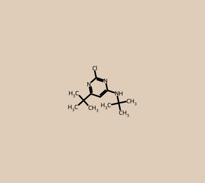 CC(C)(C)Nc1cc(C(C)(C)C)nc(Cl)n1